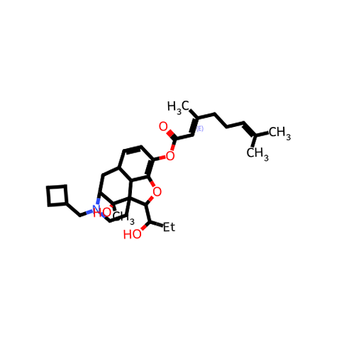 CCC(O)C1OC2=C(OC(=O)/C=C(\C)CCC=C(C)C)C=CC3CC4N(CC5CCC5)CCC1(C23)C4(C)O